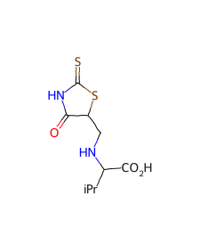 CC(C)C(NCC1SC(=S)NC1=O)C(=O)O